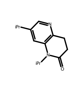 CC(C)c1cnc2c(c1)N(C(C)C)C(=O)CC2